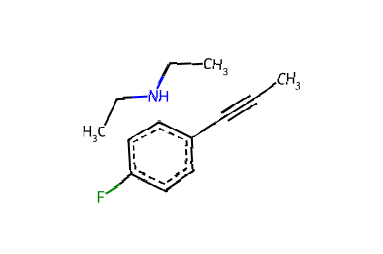 CC#Cc1ccc(F)cc1.CCNCC